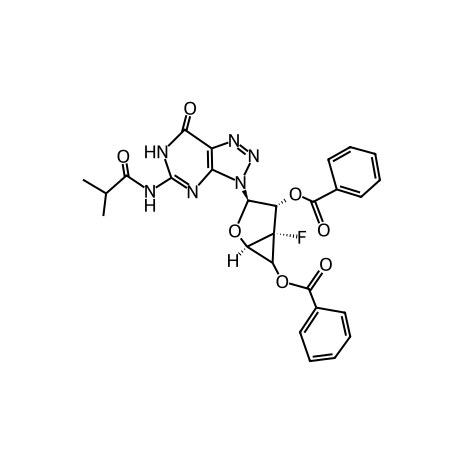 CC(C)C(=O)Nc1nc2c(nnn2[C@@H]2O[C@@H]3C(OC(=O)c4ccccc4)[C@]3(F)[C@H]2OC(=O)c2ccccc2)c(=O)[nH]1